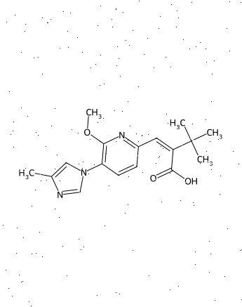 COc1nc(C=C(C(=O)O)C(C)(C)C)ccc1-n1cnc(C)c1